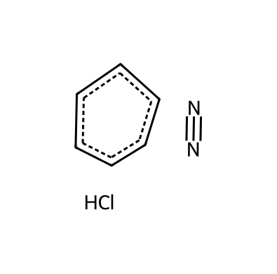 Cl.N#N.c1ccccc1